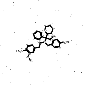 CCOc1cc(CC(=O)N(Cc2ccc(OC)cc2)C(CC(C)C)(c2ccccc2)C2CCCCN2)ccc1C(=O)O